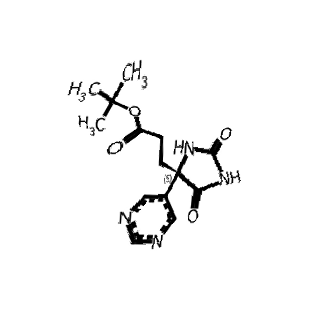 CC(C)(C)OC(=O)CC[C@@]1(c2cncnc2)NC(=O)NC1=O